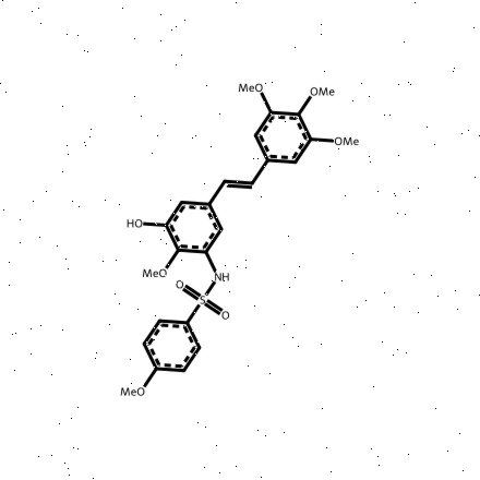 COc1ccc(S(=O)(=O)Nc2cc(C=Cc3cc(OC)c(OC)c(OC)c3)cc(O)c2OC)cc1